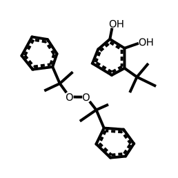 CC(C)(C)c1cccc(O)c1O.CC(C)(OOC(C)(C)c1ccccc1)c1ccccc1